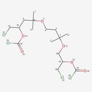 CC(C)(CCOC(C)(C)CC(CCl)OC(=O)Cl)OCC(CCl)OC(=O)Cl